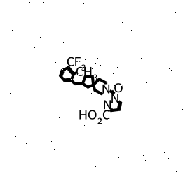 Cc1c(CC2CCC3(CCN(C(=O)n4ccc(C(=O)O)n4)CC3)C2)cccc1C(F)(F)F